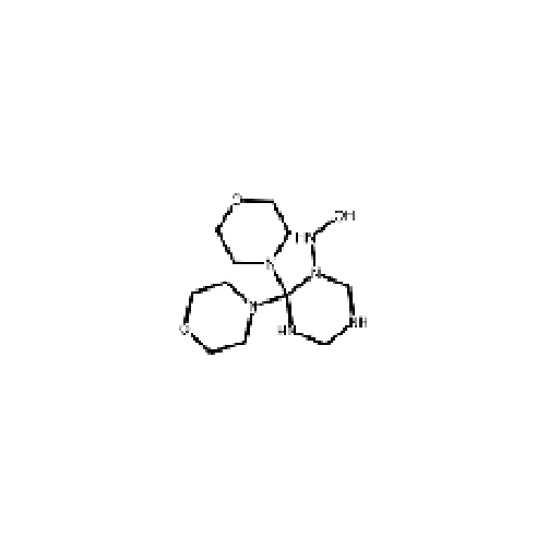 ONN1CNCNC1(N1CCOCC1)N1CCOCC1